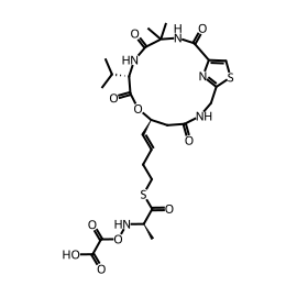 CC(C)[C@@H]1NC(=O)C(C)(C)NC(=O)c2csc(n2)CNC(=O)C[C@@H](/C=C/CCSC(=O)[C@@H](C)NOC(=O)C(=O)O)OC1=O